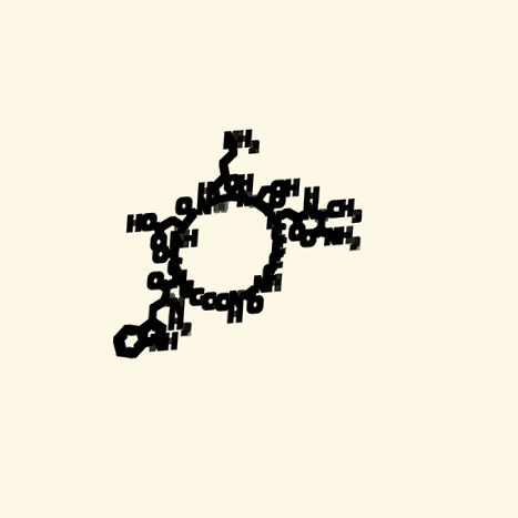 C[C@H](NC(=O)CN1CCCCNC(=O)NCCCCN(C(=O)[C@@H](N)Cc2c[nH]c3ccccc23)CC(=O)N[C@@H](CC(=O)O)C(=O)N[C@@H](CCCCN)C(=O)N[C@@H](CO)C1=O)C(N)=O